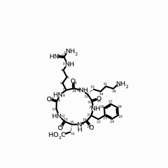 N=C(N)NCCCC1NC(=O)CNC(=O)[C@@H](CC(=O)O)NC(=O)C(Cc2ccccc2)NC(=O)[C@@H](CCCCN)NC1=O